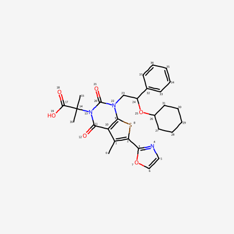 Cc1c(-c2ncco2)sc2c1c(=O)n(C(C)(C)C(=O)O)c(=O)n2CC(OC1CCCCC1)c1ccccc1